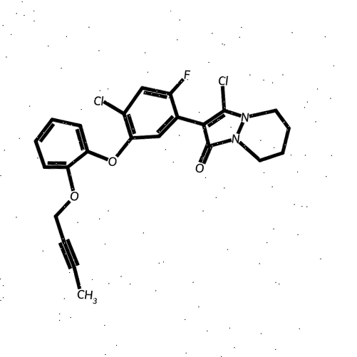 CC#CCOc1ccccc1Oc1cc(-c2c(Cl)n3n(c2=O)CCCC3)c(F)cc1Cl